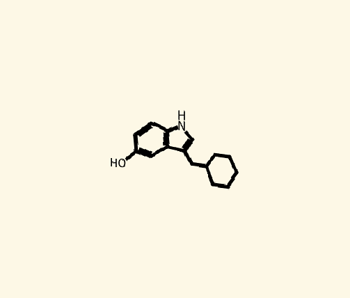 Oc1ccc2[nH]cc(CC3CCCCC3)c2c1